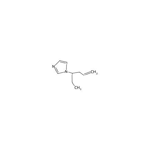 C=CCC(CC)n1ccnc1